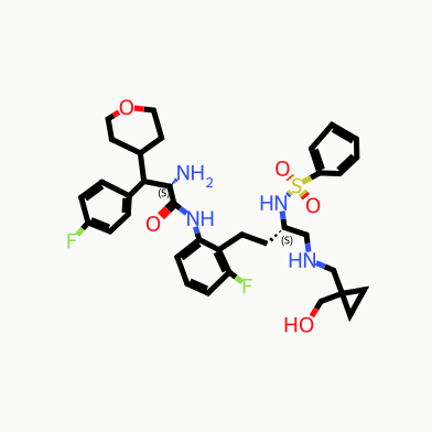 N[C@H](C(=O)Nc1cccc(F)c1CC[C@@H](CNCC1(CO)CC1)NS(=O)(=O)c1ccccc1)C(c1ccc(F)cc1)C1CCOCC1